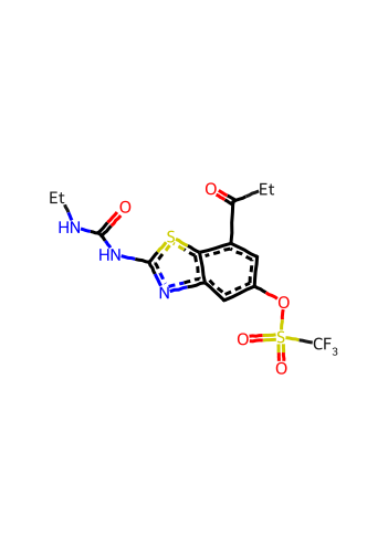 CCNC(=O)Nc1nc2cc(OS(=O)(=O)C(F)(F)F)cc(C(=O)CC)c2s1